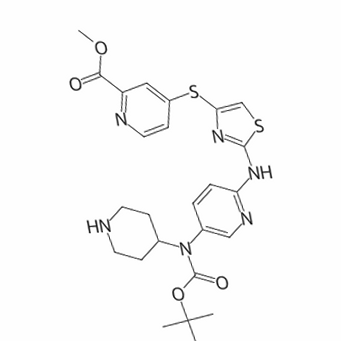 COC(=O)c1cc(Sc2csc(Nc3ccc(N(C(=O)OC(C)(C)C)C4CCNCC4)cn3)n2)ccn1